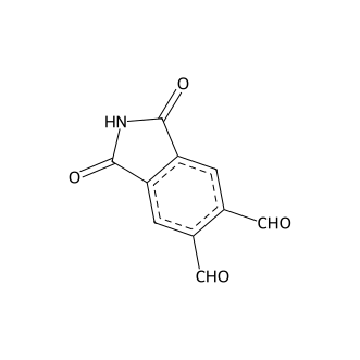 O=Cc1cc2c(cc1C=O)C(=O)NC2=O